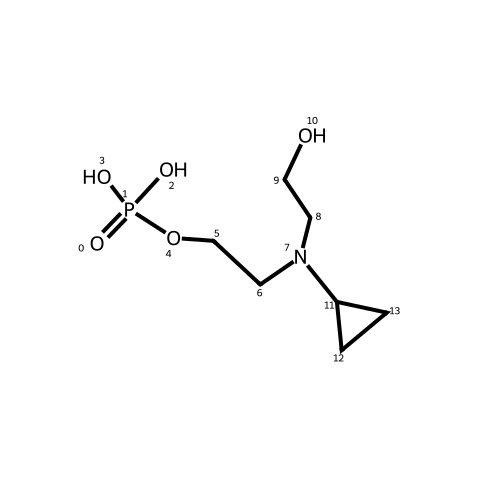 O=P(O)(O)OCCN(CCO)C1CC1